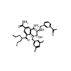 CCCN(CCC)C(=O)c1cc(C(N)=O)cc(C(N)=O)c1[C@H](Cc1cc(F)cc(F)c1)[C@@H](O)CNCc1cccc(C(C)=O)c1